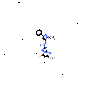 CCCCc1cc(=O)n2nc(NCc3cc(-c4ccccc4)nn3C)nc2[nH]1